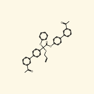 C=CCSC(Oc1ccccc1)(C(=O)Oc1ccc(-c2cccc(C(C)=O)c2)cc1)c1ccc(-c2cccc(C(C)=O)c2)cc1